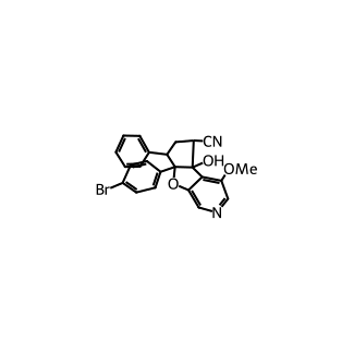 COc1cncc2c1C1(O)C(C#N)CC(c3ccccc3)C1(c1ccc(Br)cc1)O2